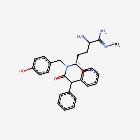 NC(=O)[C@H](CCC(N)C(N)=N[N+](=O)[O-])N(Cc1ccc(O)cc1)C(=O)C(c1ccccc1)c1ccccc1